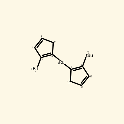 CC(C)(C)C1=[C]([Ru][C]2=C(C(C)(C)C)C=CC2)CC=C1